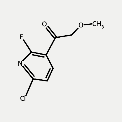 COCC(=O)c1ccc(Cl)nc1F